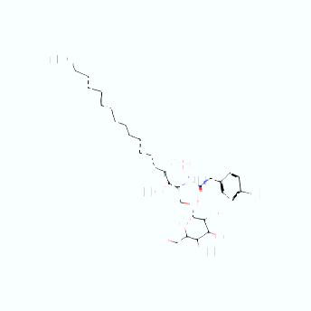 CCCCCCCCCCCCCC[C@@H](O)[C@@H](O)[C@H](COC1OC(CO)C(O)C(O)C1O)NC(=O)Cc1ccc(Cl)cc1